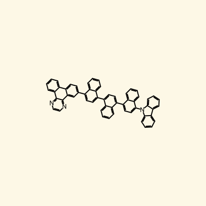 c1ccc2c(-c3ccc(-c4ccc(-n5c6ccccc6c6ccccc65)c5ccccc45)c4ccccc34)ccc(-c3ccc4c5ccccc5c5nccnc5c4c3)c2c1